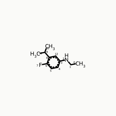 CCNc1ccc(F)c(C(C)C)c1